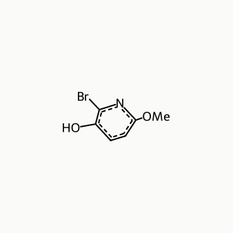 COc1ccc(O)c(Br)n1